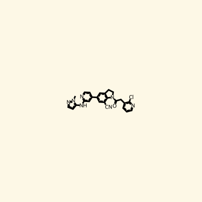 Cn1nccc1Nc1cc(-c2cc(C#N)c3c(c2)CCN3C(=O)Cc2cccnc2Cl)ccn1